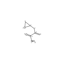 C=C(CC1CO1)C(N)=O